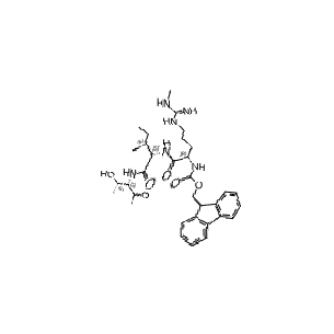 CC[C@H](C)[C@H](NC(=O)[C@@H](CCCNC(=N)NC)NC(=O)OCC1c2ccccc2-c2ccccc21)C(=O)N[C@H](C(C)=O)[C@H](C)O